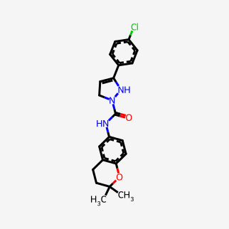 CC1(C)CCc2cc(NC(=O)N3CC=C(c4ccc(Cl)cc4)N3)ccc2O1